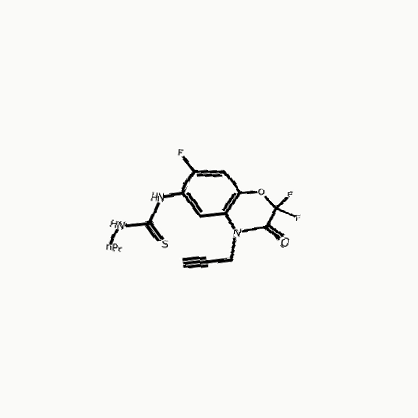 C#CCN1C(=O)C(F)(F)Oc2cc(F)c(NC(=S)NCCC)cc21